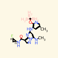 BC(B)(B)Oc1ncc(C)cc1Nc1cc(NC)n2ncc(C(=O)N[C@H]3C[C@H]3F)c2n1